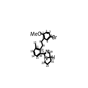 COc1ccc(Br)cc1CCc1c(C)cccc1C1=NC[C@@H]2CCCN12